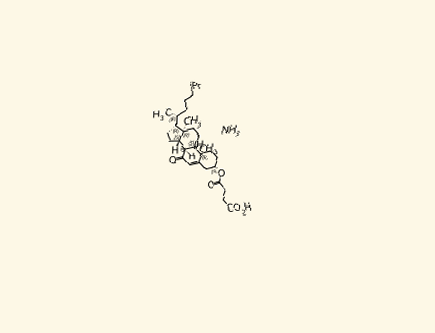 CC(C)CCC[C@@H](C)[C@H]1CC[C@H]2[C@@H]3C(=O)C=C4C[C@@H](OC(=O)CCC(=O)O)CC[C@]4(C)[C@H]3CC[C@]12C.N